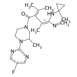 C=N/C(NC1(C)CC1)=C(\C)C(C(=O)N1CCN(c2ncc(F)cn2)C(C)C1)=C(C)C